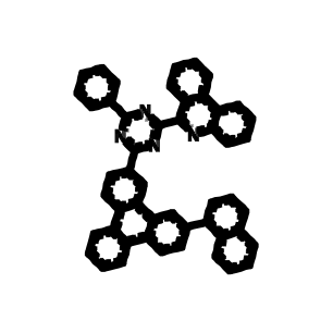 c1ccc(-c2nc(-c3ccc4c5ccccc5c5ccc(-c6cccc7ccccc67)cc5c4c3)nc(-c3nc4ccccc4c4ccccc34)n2)cc1